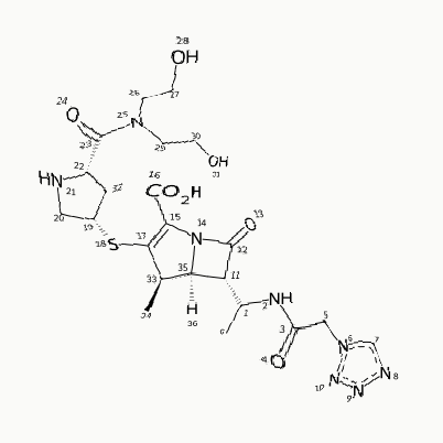 CC(NC(=O)Cn1cnnn1)[C@H]1C(=O)N2C(C(=O)O)=C(S[C@@H]3CN[C@H](C(=O)N(CCO)CCO)C3)[C@H](C)[C@H]12